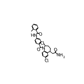 Cc1ccccc1C(=O)Nc1ccc(C(=O)N2c3ccc(Cl)cc3C(CC(N)=O)CCC2Cl)cc1